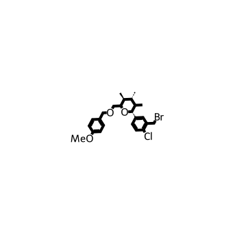 COc1ccc(COCC2O[C@@H](c3ccc(Cl)c(CBr)c3)C(C)[C@@H](C)[C@@H]2C)cc1